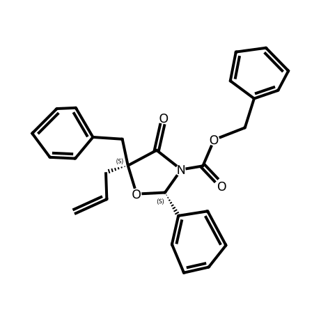 C=CC[C@@]1(Cc2ccccc2)O[C@@H](c2ccccc2)N(C(=O)OCc2ccccc2)C1=O